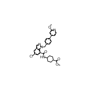 COC(=O)C1CCC(NC(=O)c2cc(Cl)cc3cnn(Cc4ccc(-c5ccnc(OC)c5)cc4)c23)CC1